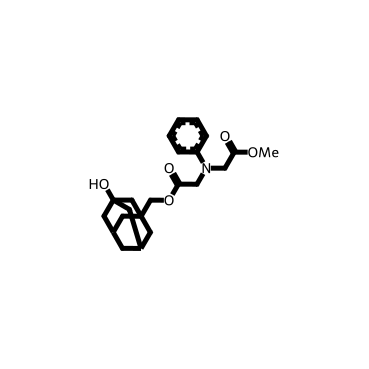 COC(=O)CN(CC(=O)OCC12CC3CC(CC(O)(C3)C1)C2)c1ccccc1